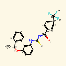 C[C@@H](Oc1cccc(NC(=S)NC(=O)c2ccc(C(F)(F)F)cc2)c1)c1ccccc1